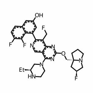 CC[C@H]1CN(c2nc(OC[C@]34CCCN3C[C@@H](F)C4)nc3c(CF)c(-c4cc(O)cc5ccc(F)c(F)c45)ncc23)CCN1